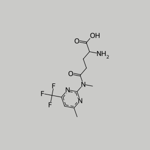 Cc1cc(C(F)(F)F)nc(N(C)C(=O)CCC(N)C(=O)O)n1